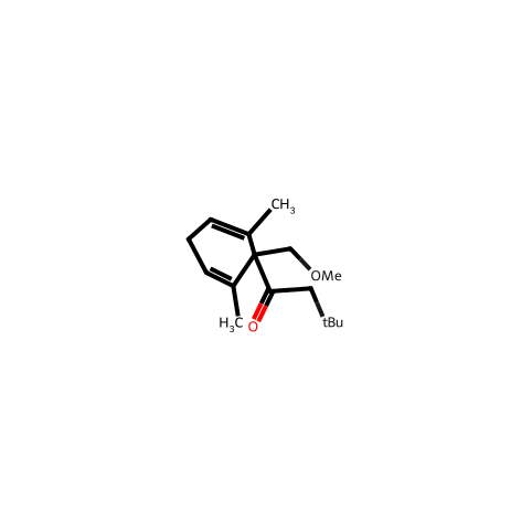 COCC1(C(=O)CC(C)(C)C)C(C)=CCC=C1C